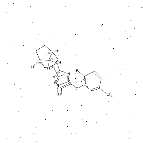 Cc1noc(N2C[C@H]3CC[C@@H](C2)[C@H]3Nc2nc(Oc3cc(C(F)(F)F)ccc3F)n(C(C)C)n2)n1